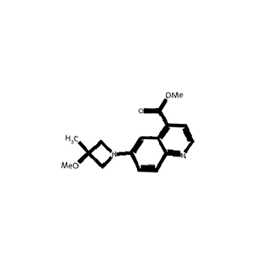 COC(=O)c1ccnc2ccc(N3CC(C)(OC)C3)cc12